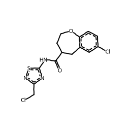 O=C(Nc1nc(CCl)ns1)C1CCOc2ccc(Cl)cc2C1